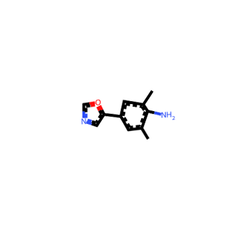 Cc1cc(-c2cnco2)cc(C)c1N